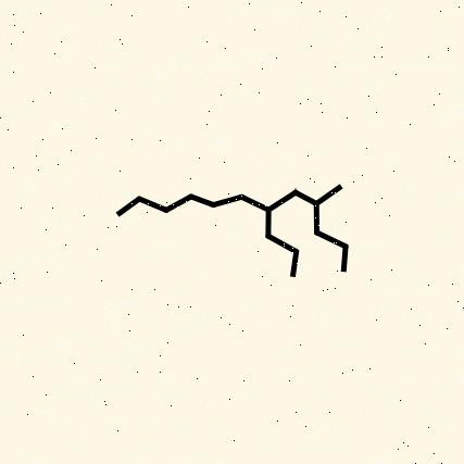 CCCCCCC([CH]C(C)CCC)CCC